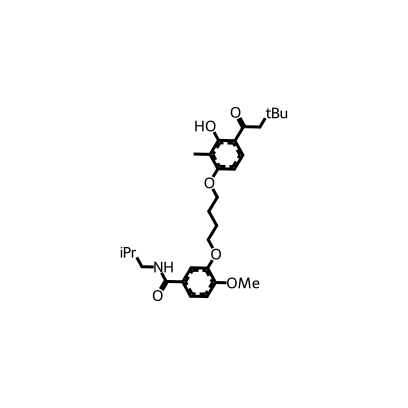 COc1ccc(C(=O)NCC(C)C)cc1OCCCCOc1ccc(C(=O)CC(C)(C)C)c(O)c1C